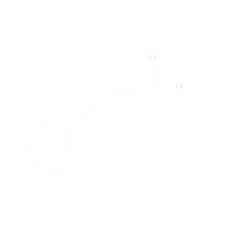 COC(=O)CCC#CC1=CC[CH]CC1